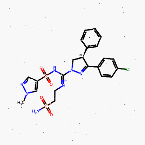 Cn1cc(S(=O)(=O)N/C(=N\CCS(N)(=O)=O)N2C[C@@H](c3ccccc3)C(c3ccc(Cl)cc3)=N2)cn1